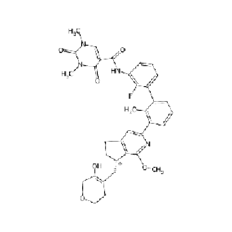 COc1nc(-c2cccc(-c3cccc(NC(=O)c4cn(C)c(=O)n(C)c4=O)c3F)c2C)cc2c1[C@H](CC1=C(O)COCC1)CC2